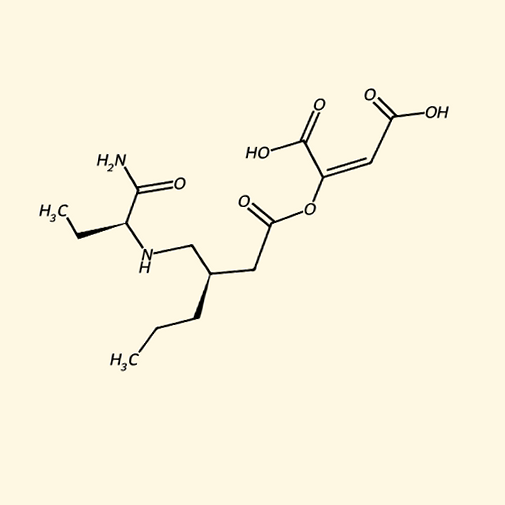 CCC[C@@H](CN[C@@H](CC)C(N)=O)CC(=O)O/C(=C/C(=O)O)C(=O)O